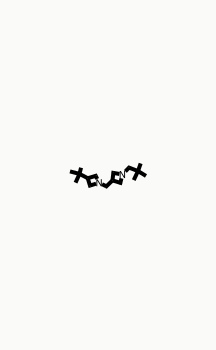 CC(C)(C)CN1CC(CN2CC(C(C)(C)C)C2)C1